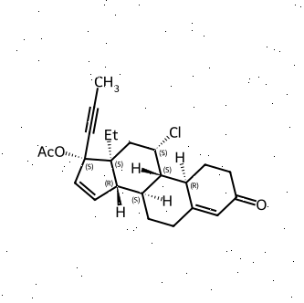 CC#C[C@]1(OC(C)=O)C=C[C@H]2[C@@H]3CCC4=CC(=O)CC[C@@H]4[C@H]3[C@@H](Cl)C[C@@]21CC